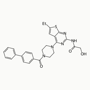 CCc1cc2c(N3CCN(C(=O)c4ccc(-c5ccccc5)cc4)CC3)nc(NC(=O)CO)nc2s1